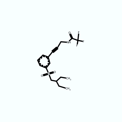 CCC(CC)CS(=O)(=O)c1cccc(C#CCNC(=O)C(F)(F)F)c1